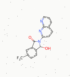 O=C1c2cc(C(F)(F)F)ccc2C(O)N1c1ccc2cccnc2n1